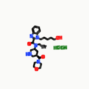 CC(C)CN(C(=O)c1nc2ccccc2n1CCCCCO)[C@@H]1CNC[C@H](C(=O)N2CCOCC2)C1.Cl.Cl